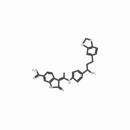 C/C(Nc1ccc(C(N)CCc2ccc3c(c2)OCO3)cc1)=C1/C(=O)Nc2cc(C(N)=O)ccc21